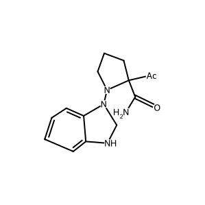 CC(=O)C1(C(N)=O)CCCN1N1CNc2ccccc21